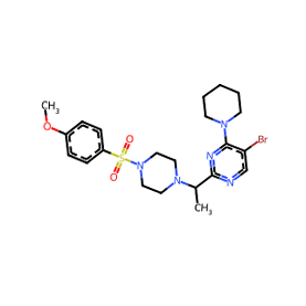 COc1ccc(S(=O)(=O)N2CCN(C(C)c3ncc(Br)c(N4CCCCC4)n3)CC2)cc1